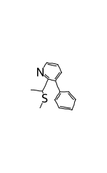 CSC(C)c1ncccc1-c1ccccc1